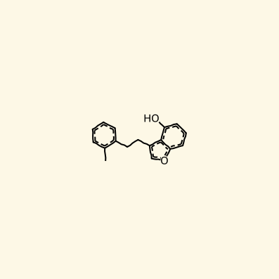 Cc1ccccc1CCc1coc2cccc(O)c12